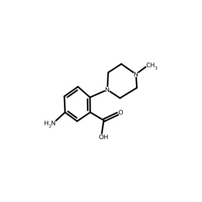 CN1CCN(c2ccc(N)cc2C(=O)O)CC1